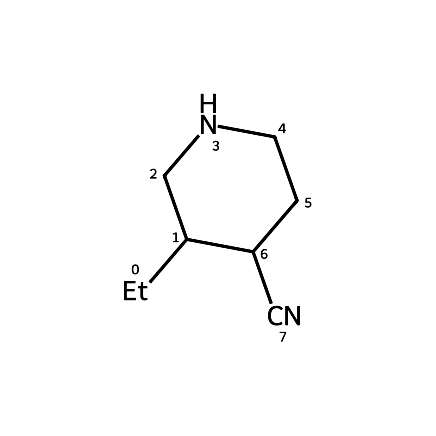 CCC1CNCCC1C#N